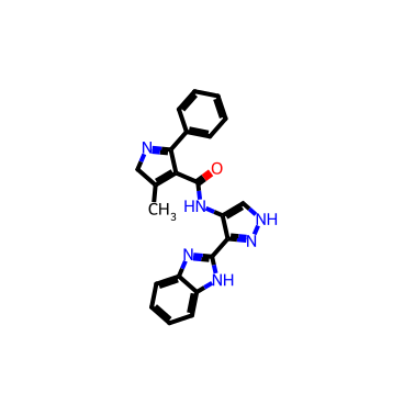 CC1=C(C(=O)Nc2c[nH]nc2-c2nc3ccccc3[nH]2)C(c2ccccc2)=NC1